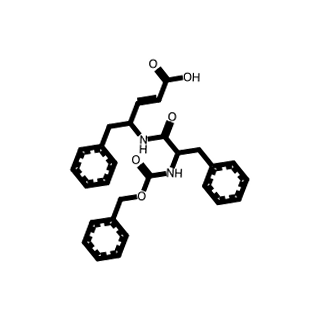 O=C(O)C=CC(Cc1ccccc1)NC(=O)C(Cc1ccccc1)NC(=O)OCc1ccccc1